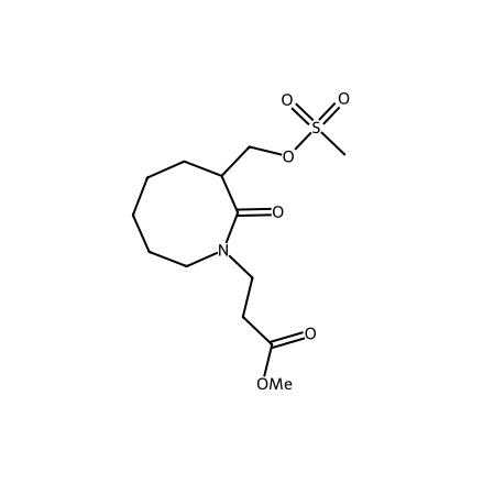 COC(=O)CCN1CCCCCC(COS(C)(=O)=O)C1=O